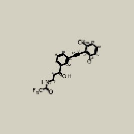 O=C(NCCC(O)c1cccc(C#Cc2c(Cl)cccc2Cl)c1)C(F)(F)F